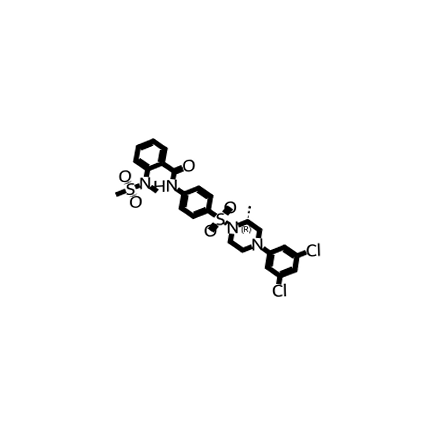 C[C@@H]1CN(c2cc(Cl)cc(Cl)c2)CCN1S(=O)(=O)c1ccc(NC(=O)c2ccccc2N(C)S(C)(=O)=O)cc1